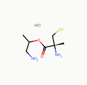 CC(CN)OC(=O)[C@@](C)(N)CS.Cl